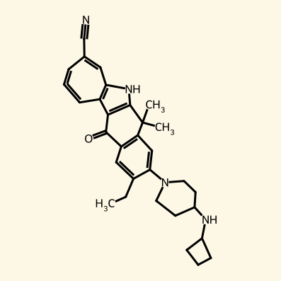 CCc1cc2c(cc1N1CCC(NC3CCC3)CC1)C(C)(C)c1[nH]c3c(c1C2=O)C=C=CC(C#N)=C3